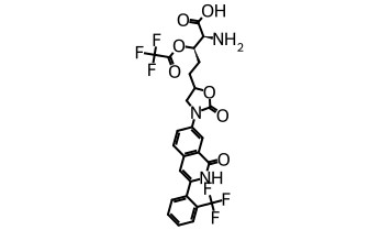 N[C@H](C(=O)O)[C@@H](CCC1CN(c2ccc3cc(-c4ccccc4C(F)(F)F)[nH]c(=O)c3c2)C(=O)O1)OC(=O)C(F)(F)F